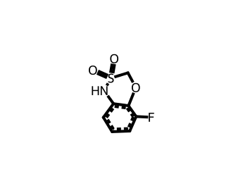 O=S1(=O)COc2c(F)cccc2N1